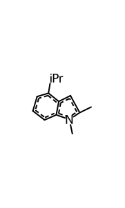 Cc1cc2c(C(C)C)cccc2n1C